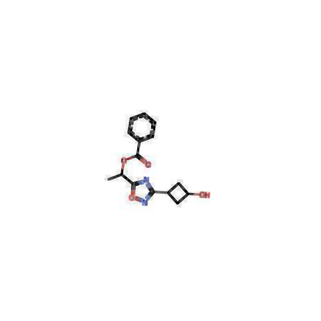 CC(OC(=O)c1ccccc1)c1nc(C2CC(O)C2)no1